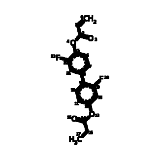 C=CC(=O)Oc1ccc(-c2ccc(OC(=O)CC)cc2F)cc1F